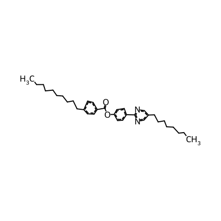 CCCCCCCCCCc1ccc(C(=O)Oc2ccc(-c3ncc(CCCCCCCC)cn3)cc2)cc1